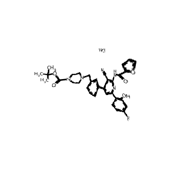 CC(C)(C)OC(=O)N1CCN(Cc2cccc(-c3cc(-c4ccc(F)cc4O)nc(NC(=O)c4ccco4)c3C#N)c2)CC1.Cl